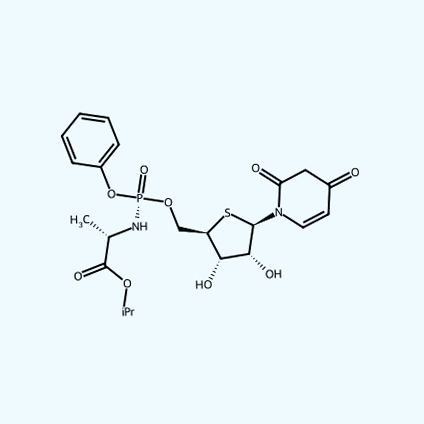 CC(C)OC(=O)[C@H](C)N[P@](=O)(OC[C@H]1S[C@@H](N2C=CC(=O)CC2=O)[C@H](O)[C@@H]1O)Oc1ccccc1